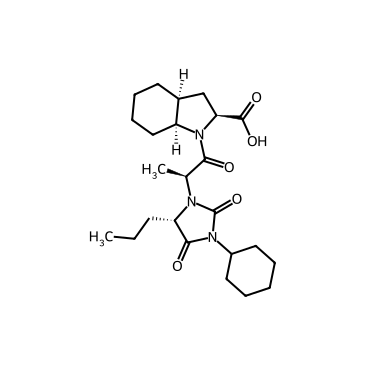 CCC[C@H]1C(=O)N(C2CCCCC2)C(=O)N1[C@@H](C)C(=O)N1[C@H](C(=O)O)C[C@@H]2CCCC[C@@H]21